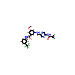 COc1cc(NCc2cnc(NC(=O)C3CC3)cn2)cc(C(=O)Nc2cccc(C(F)(F)F)c2)c1